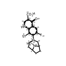 CCc1c(N2CCC3CCC(C2)N3C)c(F)cc2c(=O)c(C(=O)O)c[nH]c12